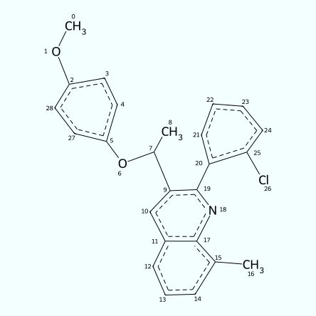 COc1ccc(OC(C)c2cc3cccc(C)c3nc2-c2ccccc2Cl)cc1